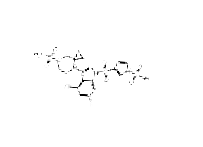 CC(C)S(=O)(=O)n1ccc(S(=O)(=O)n2nc(N3CCN(S(C)(=O)=O)CC34CC4)c3c(Cl)cc(F)cc32)c1